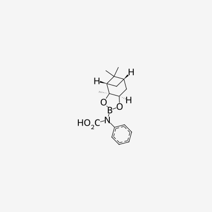 CC1(C)[C@@H]2C[C@H]3OB(N(C(=O)O)c4ccccc4)O[C@@]3(C)[C@H]1C2